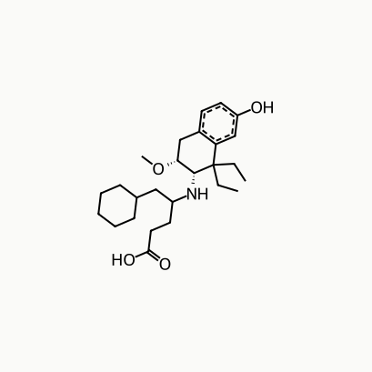 CCC1(CC)c2cc(O)ccc2C[C@@H](OC)[C@H]1NC(CCC(=O)O)CC1CCCCC1